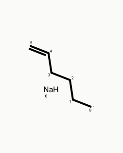 [CH2]CCCC=C.[NaH]